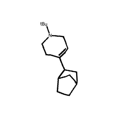 CC(C)(C)N1CC=C(C2CC3CCC2C3)CC1